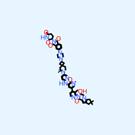 C[C@H]1CC2(CCN1c1ccc(Nc3cc(-c4ccnc(N5CCn6c(cc7c6CC(C)(C)C7)C5=O)c4CO)cn(C)c3=O)nc1)CC(N1CCN(c3ccc4c(c3)C(=O)N(C3CCC(=O)NC3=O)C4=O)CC1)C2